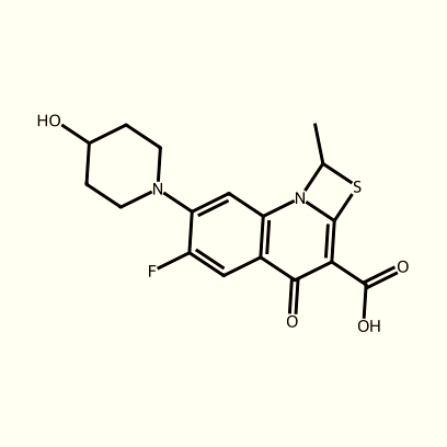 CC1Sc2c(C(=O)O)c(=O)c3cc(F)c(N4CCC(O)CC4)cc3n21